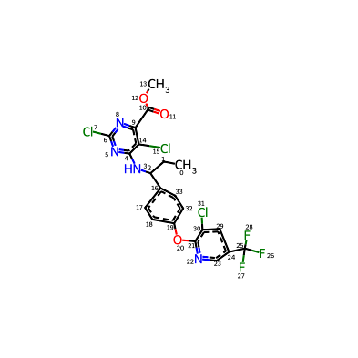 CCC(Nc1nc(Cl)nc(C(=O)OC)c1Cl)c1ccc(Oc2ncc(C(F)(F)F)cc2Cl)cc1